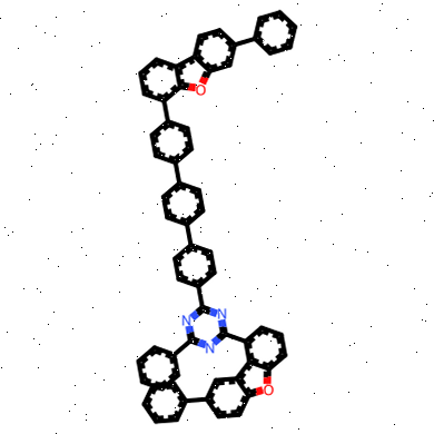 c1ccc(-c2ccc3c(c2)oc2c(-c4ccc(-c5ccc(-c6ccc(-c7nc(-c8ccccc8)nc(-c8cccc9oc%10ccc(-c%11ccccc%11)cc%10c89)n7)cc6)cc5)cc4)cccc23)cc1